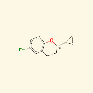 Fc1ccc2c(c1)CC[C@@H](C1CC1)O2